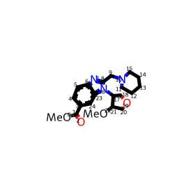 COC(=O)c1ccc2nc(CN3CCCCC3)n(C3COCC3OC)c2c1